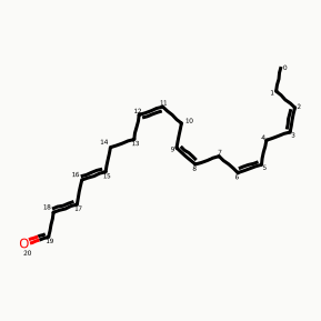 CC/C=C\C/C=C\C/C=C\C/C=C\CC/C=C/C=C/C=O